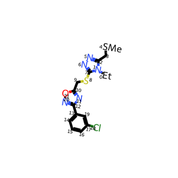 CCn1c(CSC)nnc1SCc1nc(-c2cccc(Cl)c2)no1